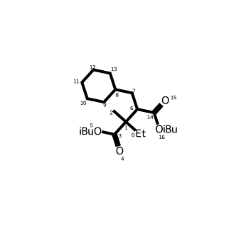 CCC(C)(C(=O)OCC(C)C)C(CC1CCCCC1)C(=O)OCC(C)C